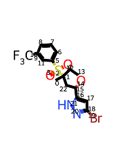 CC1(S(=O)(=O)c2cccc(C(F)(F)F)c2)CCOC(c2cc(Br)n[nH]2)C1